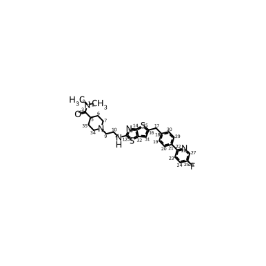 CN(C)C(=O)C1CCN(CCNc2nc3sc(Cc4ccc(-c5ccc(F)cn5)cc4)cc3s2)CC1